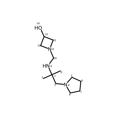 CC(C)(CN1CCCC1)NCN1CC(O)C1